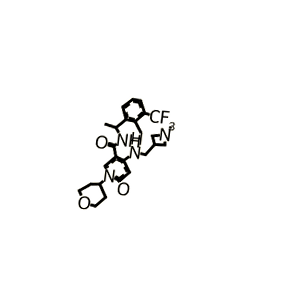 Cc1c(C(C)NC(=O)c2cn(C3CCOCC3)c(=O)cc2NCC2CN(C)C2)cccc1C(F)(F)F